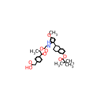 COc1ccc(C2CCc3cc(OC(=O)C(C)(C)C)ccc3C2)c(NCC(=O)OC(C)C(=O)c2ccc(CC(=O)O)cc2)c1